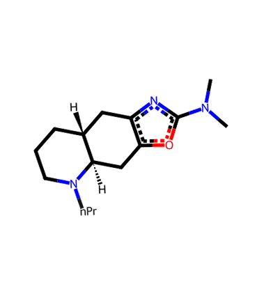 CCCN1CCC[C@@H]2Cc3nc(N(C)C)oc3C[C@H]21